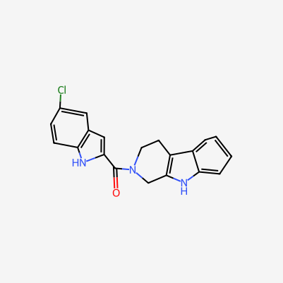 O=C(c1cc2cc(Cl)ccc2[nH]1)N1CCc2c([nH]c3ccccc23)C1